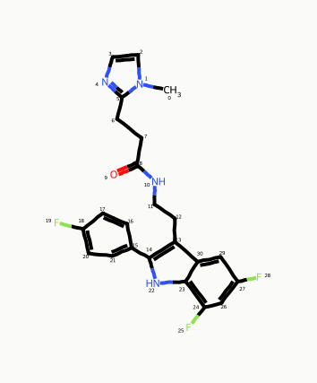 Cn1ccnc1CCC(=O)NCCc1c(-c2ccc(F)cc2)[nH]c2c(F)cc(F)cc12